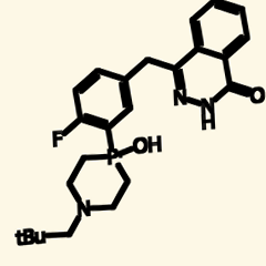 CC(C)(C)CN1CC[P](O)(c2cc(Cc3n[nH]c(=O)c4ccccc34)ccc2F)CC1